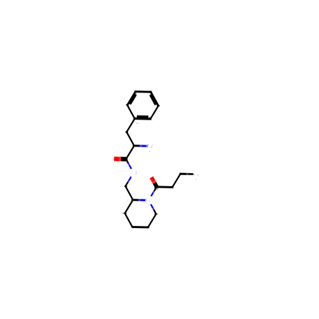 CCCCCCCCCCCCC(=O)N1CCCCC1CNC(=O)C(N)Cc1ccccc1